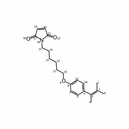 CC(C)=C(C)c1ccc(OCCCCCCN2C(=O)C=CC2=O)cc1